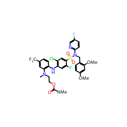 CNC(=O)OCCN(C)c1cc(C(F)(F)F)ccc1Nc1cc(F)c(S(=O)(=O)N(Cc2ccc(OC)cc2OC)c2ccc(F)cn2)cc1Cl